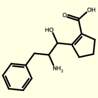 NC(Cc1ccccc1)C(O)C1=C(C(=O)O)CCC1